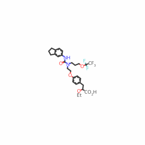 CCOC(Cc1ccc(OCCN(CCCOC(F)(F)C(F)(F)F)C(=O)Nc2ccc3c(c2)CCC3)cc1)C(=O)O